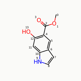 COC(=O)c1cc2cc[nH]c2cc1O